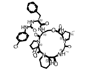 C[C@H]1C[C@H]2C(=O)OC[C@H](NC(=O)[C@H](Cc3ccccc3)NC(=O)Nc3ccc(Cl)cc3)C(=O)N3CCC[C@H]3C(=O)N3CCCC[C@H]3C(=O)N[C@@H](C)C(=O)N2C1